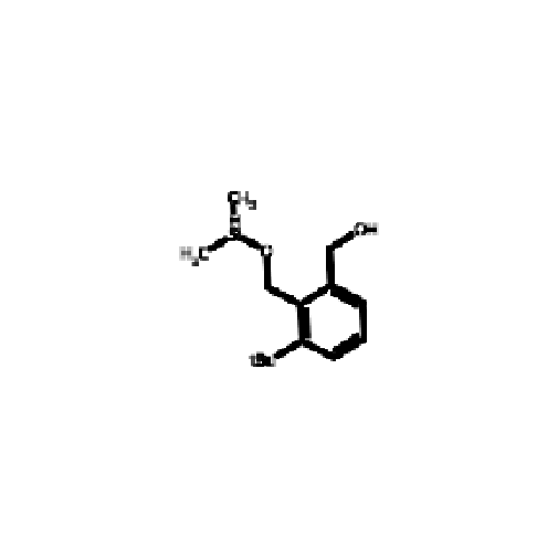 C[SiH](C)OCc1c(CO)cccc1C(C)(C)C